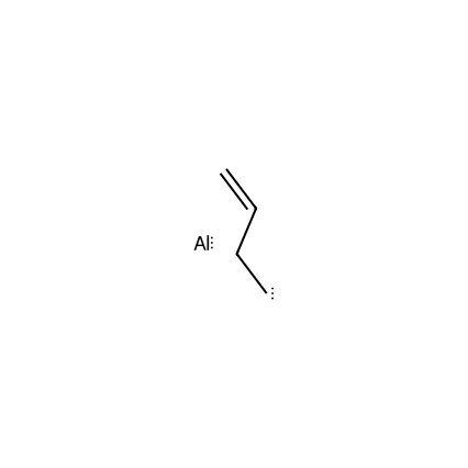 [Al].[C]CC=C